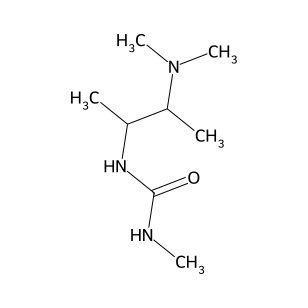 CNC(=O)NC(C)C(C)N(C)C